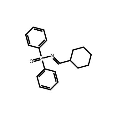 O=P(/N=C/C1CCCCC1)(c1ccccc1)c1ccccc1